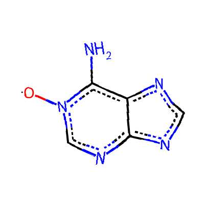 Nc1c2ncnc-2ncn1[O]